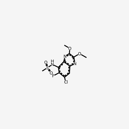 COc1nc2cc(Cl)c(F)c(NS(C)(=O)=O)c2nc1OC